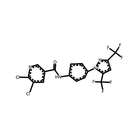 O=C(Nc1ccc(-n2nc(C(F)(F)F)cc2C(F)(F)F)cc1)c1cnc(Cl)c(Cl)c1